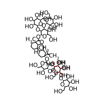 C=C1C[C@@]23CCC4[C@](C)(C(=O)OC5OC(CO)C(O)C(OC6OC(CO)C(O)C(O)C6O)C5OC5OC(CO)C(O)C(O)C5O)CCC[C@@]4(C)[C@@H]2CC[C@]1(OC1OC(CO)[C@H](O)C(O[C@@H]2OC(COC4OC(CO)C(O)C(O)C4O)C(O)C(O)C2O)C1OC1OC(CO)C(O)C(O)C1O)C3